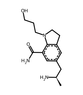 C[C@@H](N)Cc1cc2c(c(C(N)=O)c1)N(CCCO)CC2